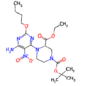 CCCCOc1nc(N)c([N+](=O)[O-])c(N2CCN(C(=O)OC(C)(C)C)CC2C(=O)OCC)n1